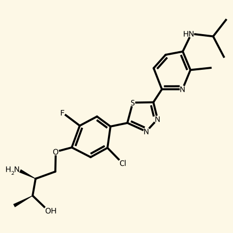 Cc1nc(-c2nnc(-c3cc(F)c(OC[C@H](N)[C@H](C)O)cc3Cl)s2)ccc1NC(C)C